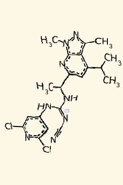 Cc1nn(C)c2nc(C(C)N/C(=N/C#N)Nc3cc(Cl)nc(Cl)c3)cc(C(C)C)c12